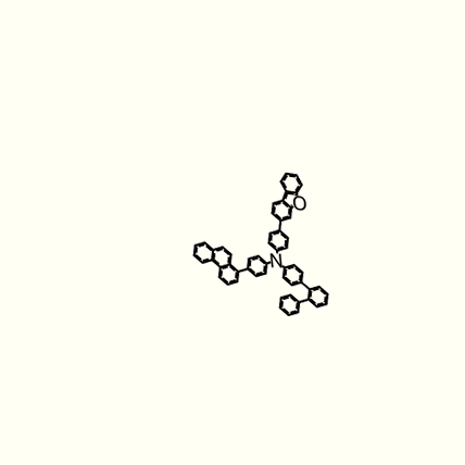 c1ccc(-c2ccccc2-c2ccc(N(c3ccc(-c4ccc5c(c4)oc4ccccc45)cc3)c3ccc(-c4cccc5c4ccc4ccccc45)cc3)cc2)cc1